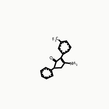 NC1=C(c2cccc(C(F)(F)F)c2)C(=O)C(c2ccccc2)C1